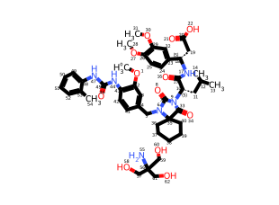 COc1cc(CN2C(=O)N([C@@H](CC(C)C)C(=O)N[C@@H](CC(=O)O)c3ccc(OC)c(OC)c3)C(=O)C23CCCCC3)ccc1NC(=O)Nc1ccccc1C.NC(CO)(CO)CO